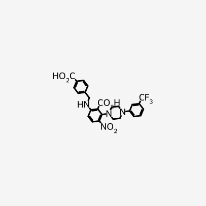 O=C(O)c1ccc(CNc2ccc([N+](=O)[O-])c(N3CCN(c4cccc(C(F)(F)F)c4)CC3)c2C(=O)O)cc1